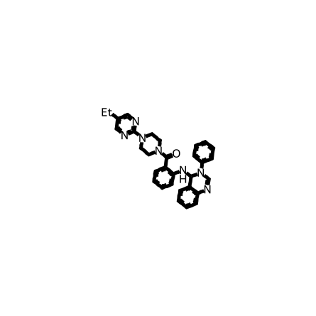 CCc1cnc(N2CCN(C(=O)c3ccccc3NC3c4ccccc4N=CN3c3ccccc3)CC2)nc1